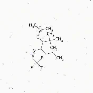 CCCC(/N=C\C(F)(F)F)C(O[SiH](C)C)C(C)(C)C